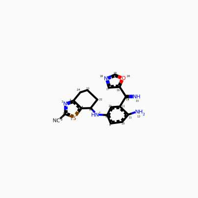 N#Cc1nc2c(s1)C(Nc1ccc(N)c(C(=N)c3cnco3)c1)CCC2